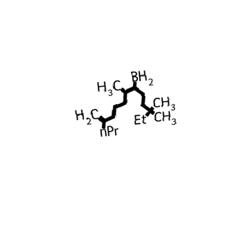 BC(CCC(C)(C)CC)C(C)CCCC(=C)CCC